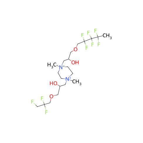 CC(F)(F)C(F)(F)C(F)(F)COCC(O)C[N+]1(C)CC[N+](C)(CC(O)COCC(F)(F)CF)CC1